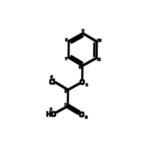 O=C(O)C(Cl)Oc1ccccc1